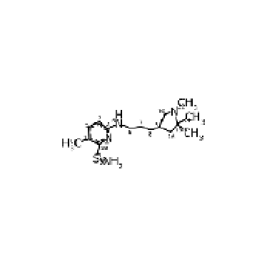 Cc1ccc(NCCCC2CN(C)C(C)(C)C2)nc1SN